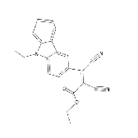 CCOC(=O)/C(C#N)=C(/C#N)c1ccc2c(c1)c1ccccc1n2CC